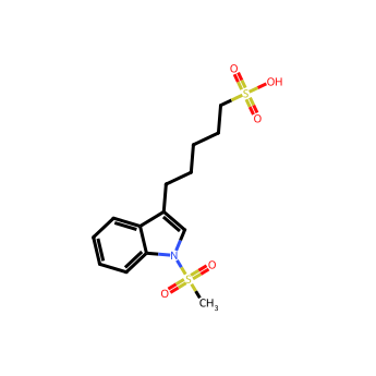 CS(=O)(=O)n1cc(CCCCCS(=O)(=O)O)c2ccccc21